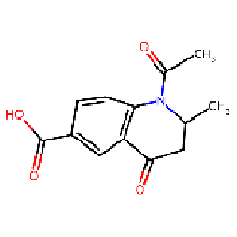 CC(=O)N1c2ccc(C(=O)O)cc2C(=O)CC1C